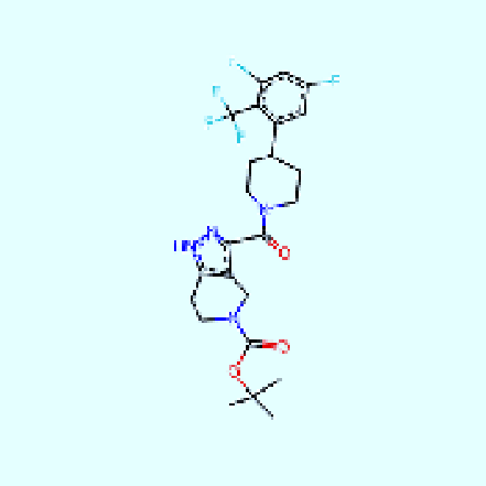 CC(C)(C)OC(=O)N1CCc2[nH]nc(C(=O)N3CCC(c4cc(F)cc(F)c4C(F)(F)F)CC3)c2C1